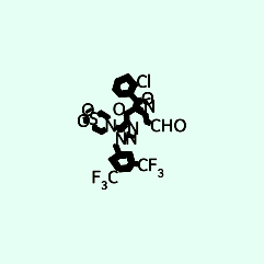 O=CCc1noc(-c2ccccc2Cl)c1C(=O)c1nnn(Cc2cc(C(F)(F)F)cc(C(F)(F)F)c2)c1N1CCS(=O)(=O)CC1